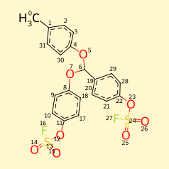 Cc1ccc(OC(Oc2ccc(OS(=O)(=O)F)cc2)c2ccc(OS(=O)(=O)F)cc2)cc1